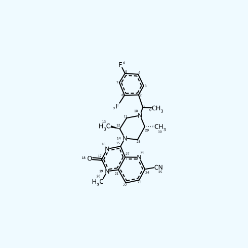 CC(c1ccc(F)cc1F)N1C[C@H](C)N(c2nc(=O)n(C)c3ccc(C#N)nc23)C[C@H]1C